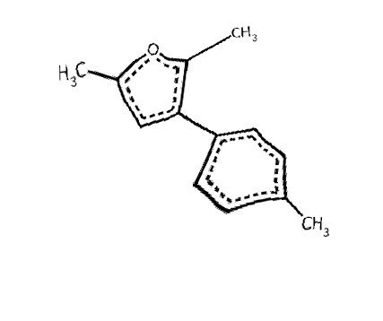 Cc1ccc(-c2cc(C)oc2C)cc1